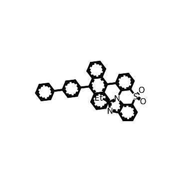 CCc1nc2cccc3c2n1-c1c(-c2c4ccccc4c(-c4ccc(-c5ccccc5)cc4)c4ccccc24)cccc1S3(=O)=O